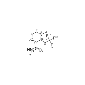 CNC(=O)C1OCCN(C)C1CC(F)(F)F